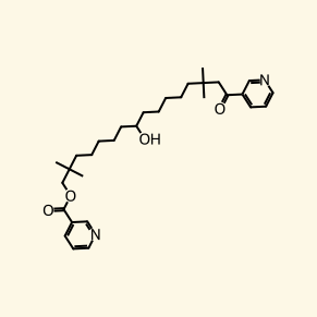 CC(C)(CCCCCC(O)CCCCCC(C)(C)CC(=O)c1cccnc1)COC(=O)c1cccnc1